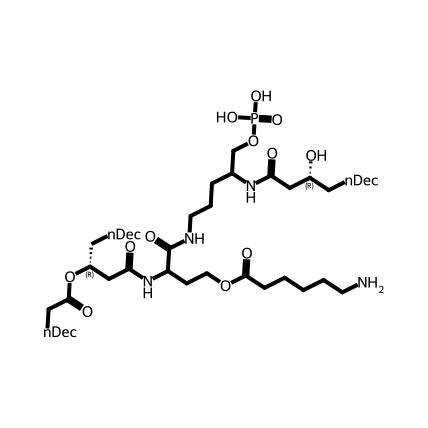 CCCCCCCCCCCC(=O)O[C@H](CCCCCCCCCCC)CC(=O)NC(CCOC(=O)CCCCCN)C(=O)NCCCC(COP(=O)(O)O)NC(=O)C[C@H](O)CCCCCCCCCCC